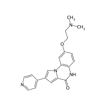 CN(C)CCOc1ccc2[nH]c(=O)c3cc(-c4ccncc4)cn3c2c1